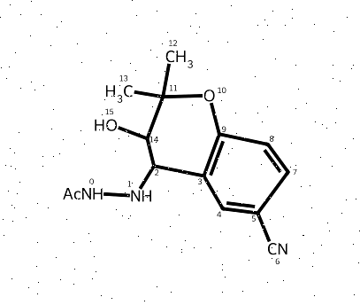 CC(=O)NNC1c2cc(C#N)ccc2OC(C)(C)C1O